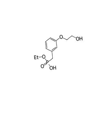 CCOP(=O)(O)Cc1cccc(OCCO)c1